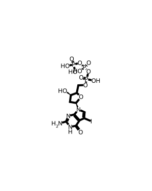 Nc1nc2c(c(I)cn2[C@H]2C[C@@H](O)C(COP(=O)(O)OP(=O)(O)OP(=O)(O)O)O2)c(=O)[nH]1